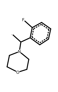 [CH2]C(c1ccccc1F)N1CCOCC1